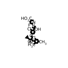 Cc1cc(C)c(-c2noc(C3CC3)c2COc2ccc(C3(O)CN(c4ncc(C(=O)O)cc4F)C3)c(Cl)c2)c(Cl)c1